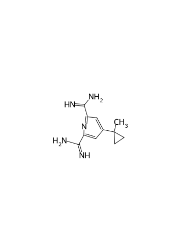 CC1(c2cc(C(=N)N)nc(C(=N)N)c2)CC1